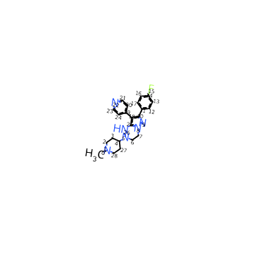 CN1CCC(N2CCn3nc(-c4ccc(F)cc4)c(-c4ccncc4)c3N2)CC1